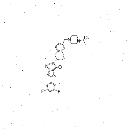 CC(=O)N1CCN(Cc2ccc3c(c2)CC[C@H](n2cnc4cc(-c5cc(F)cc(F)c5)sc4c2=O)C3)CC1